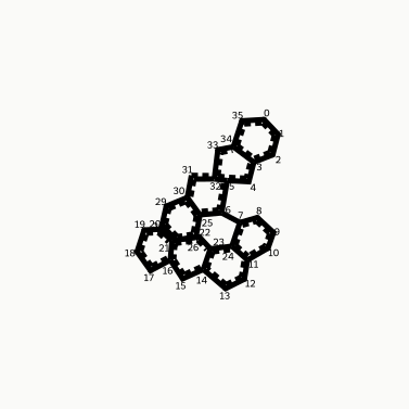 c1ccc2cc3c(-c4cccc5ccc6cc7ccccc7cc6c45)c4ccccc4cc3cc2c1